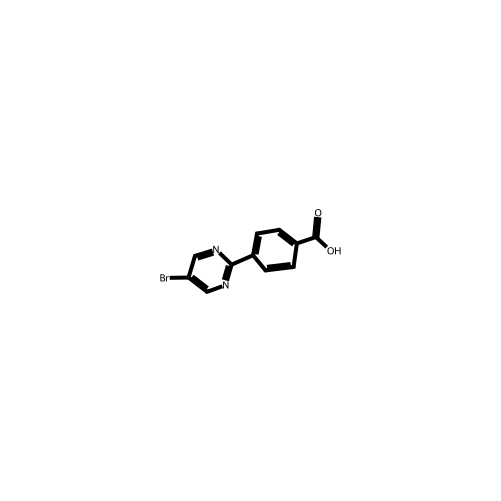 O=C(O)c1ccc(-c2ncc(Br)cn2)cc1